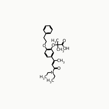 CCN(CC)C(=O)/C=C(\C)c1ccc(OCCc2ccccc2)c(OC(C)(C)C(=O)O)c1